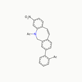 CC(=O)c1ccccc1-c1ccc2c(c1)CN(C(C)=O)c1cc([N+](=O)[O-])ccc1C=C2